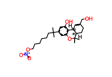 CC(C)(CCCCCCO[N+](=O)[O-])c1cc(O)c2c(c1)OC(C)(C)[C@@H]1CCC(CO)=C[C@@H]21